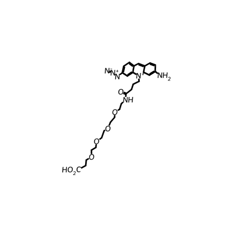 [N-]=[N+]=Nc1ccc2cc3ccc(N)cc3[n+](CCCC(=O)NCCOCCOCCOCCOCCC(=O)O)c2c1